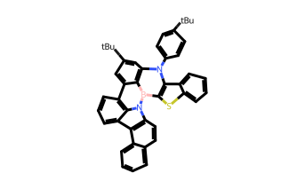 CC(C)(C)c1ccc(N2c3cc(C(C)(C)C)cc4c3B(c3sc5ccccc5c32)n2c3ccc5ccccc5c3c3cccc-4c32)cc1